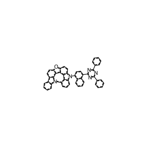 c1ccc(-c2nc(-c3ccccc3)nc(-c3ccc(-n4c5ccc6oc7ccc8c9ccccc9n9c%10cccc4c%10c5c6c7c89)c4ccccc34)n2)cc1